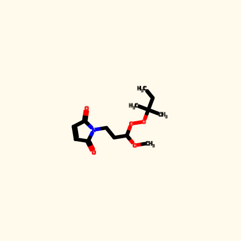 CCC(C)(C)OOC(CCN1C(=O)C=CC1=O)OC